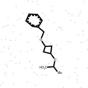 CC(C)(C)C(OC1CC(OCc2ccccc2)C1)C(=O)O